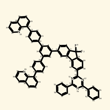 FC1(F)c2ccc(-c3cc(-c4ccc(-c5cccc6cccnc56)cc4)cc(-c4ccc(-c5cccc6cccnc56)cc4)c3)cc2-c2cc(-c3nc(-c4ccccc4)nc(-c4ccccc4)n3)ccc21